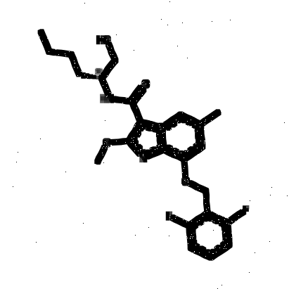 CCCC[C@H](CO)NC(=O)c1c(OC)nc2c(OCc3c(F)cccc3F)cc(C)cn12